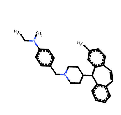 CCN(C)c1ccc(CN2CCC(C3c4ccccc4C=Cc4ccc(C)cc43)CC2)cc1